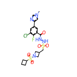 Cn1cnc(-c2cc(Cl)c(F)c(C(=O)NNS(=O)(=O)CC3CN(S(=O)(=O)C4CCC4)C3)c2)c1